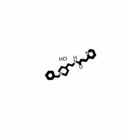 Cl.O=C(/C=C/c1ccccn1)NCCC1CCN(Cc2ccccc2)CC1